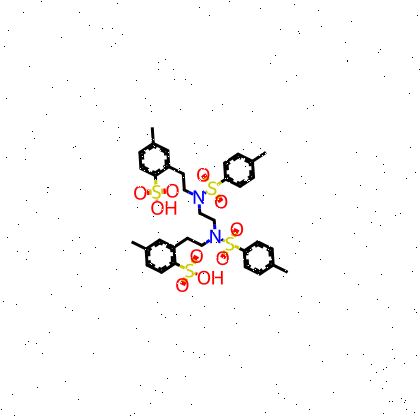 Cc1ccc(S(=O)(=O)N(CCc2cc(C)ccc2S(=O)(=O)O)CCN(CCc2cc(C)ccc2S(=O)(=O)O)S(=O)(=O)c2ccc(C)cc2)cc1